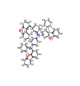 c1ccc(-c2c3c(cc4c2c2ccc(-c5cccc6oc7ccccc7c56)cc2n4-c2ccc(N(c4ccccc4)c4cccc5c4oc4ccccc45)cc2)oc2ccccc23)cc1